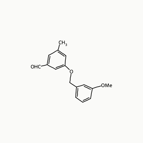 COc1cccc(COc2cc(C)cc(C=O)c2)c1